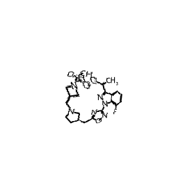 CC(C)c1nn(-c2noc(C[C@H]3CCN(CC4CN(S(C)(=O)=O)C4)C3)n2)c2c(F)cccc12